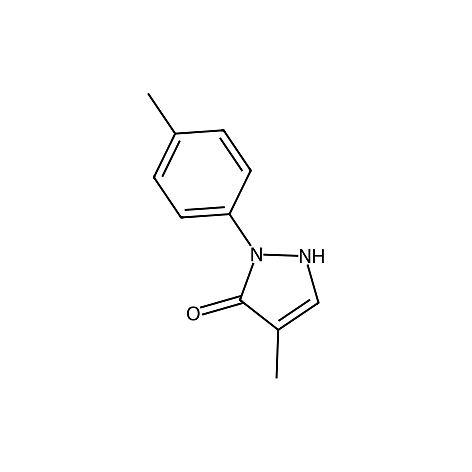 Cc1ccc(-n2[nH]cc(C)c2=O)cc1